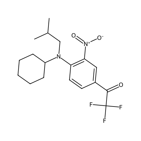 CC(C)CN(c1ccc(C(=O)C(F)(F)F)cc1[N+](=O)[O-])C1CCCCC1